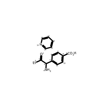 CCC(=O)C(N)c1ccc(C(=O)O)cc1.c1ccncc1